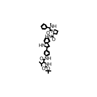 CN[C@@H](C(=O)N1CCC[C@H]1C(=O)Nc1ccc2[nH]c(-c3ccc(NC(=O)C(NC(=O)OC(C)(C)C)C(C)C)cc3)cc2c1)c1ccccc1